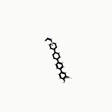 C/C=C\[SiH]1CCC(C2CCC(c3ccc(-c4ccc(F)c(F)c4)cc3)CC2)CC1